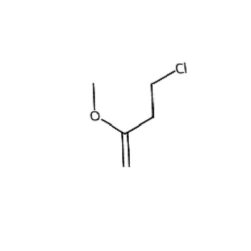 C=C(CCCl)OC